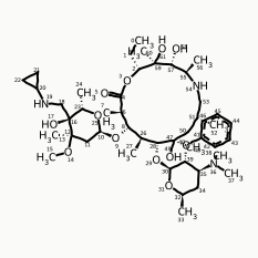 CC[C@H]1OC(=O)[C@H](C)[C@@H](O[C@H]2C[C@@](C)(OC)[C@](O)(CNC3CC3)[C@H](C)O2)[C@H](C)[C@@H](O[C@@H]2O[C@H](C)C[C@H](N(C)C)[C@H]2Oc2ccccc2)[C@](C)(O)C[C@@H](C)CN[C@H](C)[C@@H](O)[C@]1(C)O